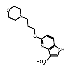 O=C(O)c1c[nH]c2ccc(OCCCN3CCOCC3)nc12